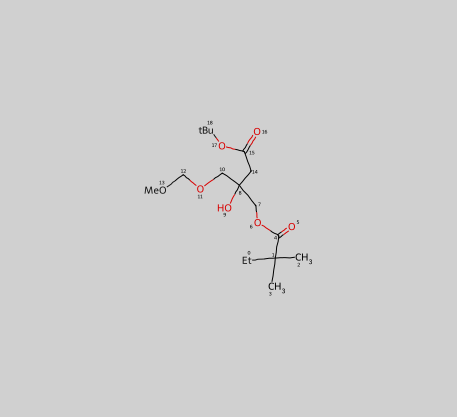 CCC(C)(C)C(=O)OCC(O)(COCOC)CC(=O)OC(C)(C)C